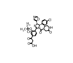 CC(C)(C)Oc1cc(C(=O)CC(=O)O)ccc1C1=N[C@@H](c2cnco2)[C@@H](c2ccc(Cl)cc2)N1C(=O)N1CCNC(=O)C1